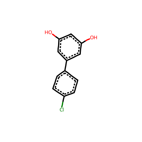 Oc1cc(O)cc(-c2ccc(Cl)cc2)c1